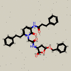 O=C(CCc1ccccc1)Nc1ccc(CCc2ccccc2)n(CC(=O)NC2CC(OCc3ccccc3)OC2=O)c1=O